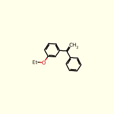 C=C(c1ccccc1)c1cccc(OCC)c1